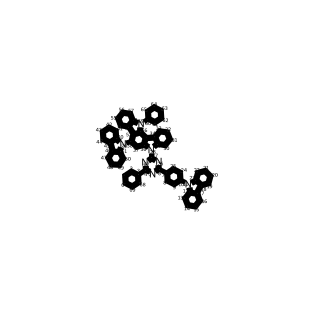 c1ccc(-c2nc(-c3ccc(-n4c5ccccc5c5ccccc54)cc3)nc(-n3c4ccccc4c4c3cc(-n3c5ccccc5c5ccccc53)c3c5ccccc5n(-c5ccccc5)c34)n2)cc1